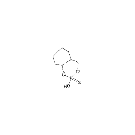 OP1(=S)OCC2CCCCC2O1